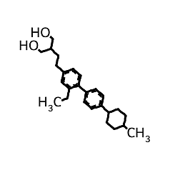 CCc1cc(CCC(CO)CO)ccc1-c1ccc(C2CCC(C)CC2)cc1